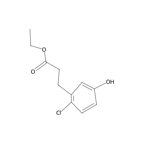 CCOC(=O)CCc1cc(O)ccc1Cl